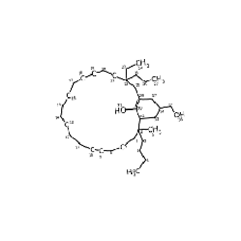 CCCCC1(C)CCCCCCCCCCCCCCCCC(CC)(CCC)CC2=C(O)C1CC(CO)C2